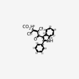 O=C(O)C(Cl)=C(Cl)C(=O)c1c(-c2ccccc2)[nH]c2ccccc12